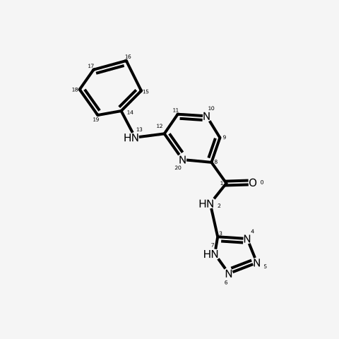 O=C(Nc1nnn[nH]1)c1cncc(Nc2ccccc2)n1